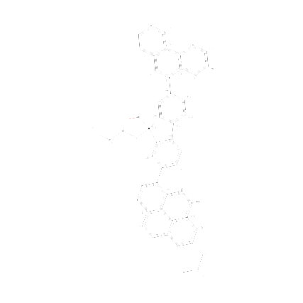 CC(C)Cc1cc2ccc3ccc(-c4ccc5c(c4)C(CO)(CCCO)c4cc(-c6cc7ccccc7c7ccccc67)ccc4-5)c4ccc(c1)c2c34